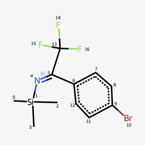 C[Si](C)(C)/N=C(\c1ccc(Br)cc1)C(F)(F)F